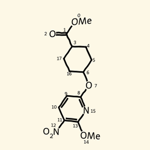 COC(=O)C1CCC(Oc2ccc([N+](=O)[O-])c(OC)n2)CC1